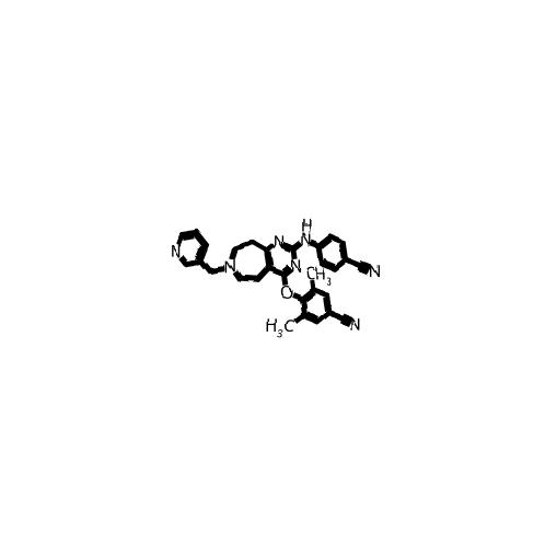 Cc1cc(C#N)cc(C)c1Oc1nc(Nc2ccc(C#N)cc2)nc2c1CCN(Cc1cccnc1)CC2